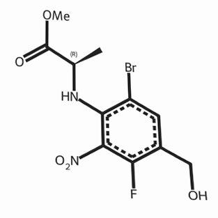 COC(=O)[C@@H](C)Nc1c(Br)cc(CO)c(F)c1[N+](=O)[O-]